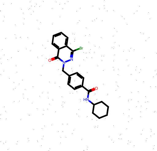 O=C(NC1CCCCC1)c1ccc(Cn2nc(Br)c3ccccc3c2=O)cc1